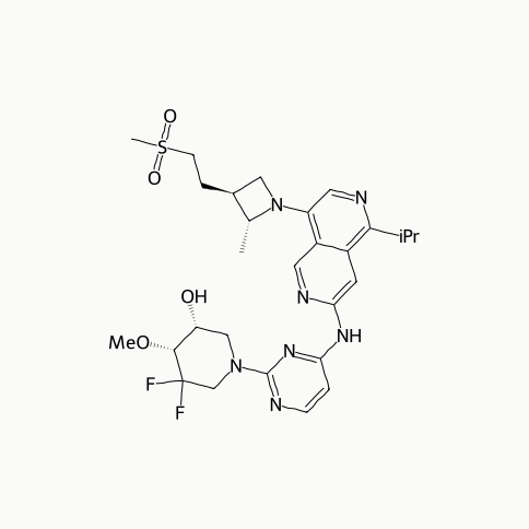 CO[C@@H]1[C@H](O)CN(c2nccc(Nc3cc4c(C(C)C)ncc(N5C[C@H](CCS(C)(=O)=O)[C@H]5C)c4cn3)n2)CC1(F)F